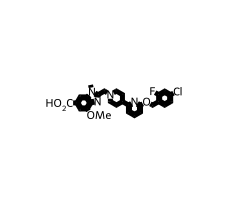 COc1cc(C(=O)O)cc2c1nc(CN1CCC(c3cccc(OCc4ccc(Cl)cc4F)n3)CC1)n2C